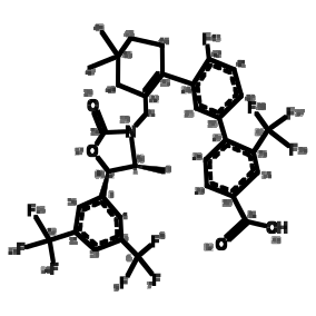 C[C@H]1[C@@H](c2cc(C(F)(F)F)cc(C(F)(F)F)c2)OC(=O)N1CC1=C(c2cc(-c3ccc(C(=O)O)cc3C(F)(F)F)ccc2F)CCC(C)(C)C1